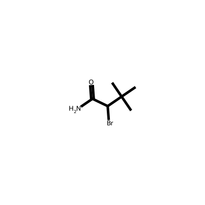 CC(C)(C)C(Br)C(N)=O